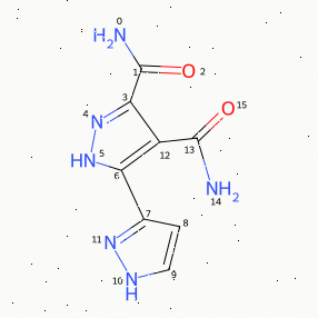 NC(=O)c1n[nH]c(-c2cc[nH]n2)c1C(N)=O